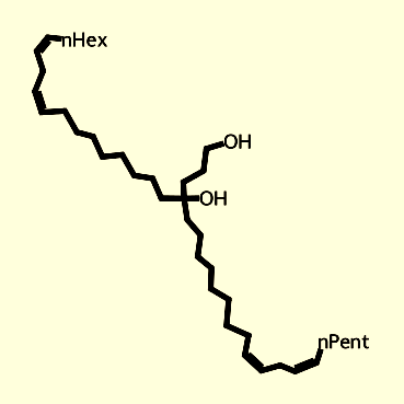 CCCCC/C=C\C/C=C\CCCCCCCCC(O)(CCCO)CCCCCCCC/C=C\C/C=C\CCCCCC